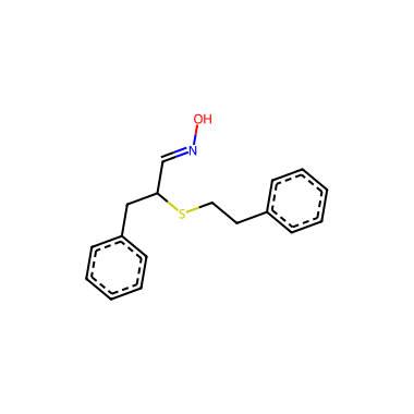 O/N=C/C(Cc1ccccc1)SCCc1ccccc1